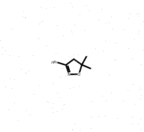 [CH2]C1([CH2])CC(CCC)=NO1